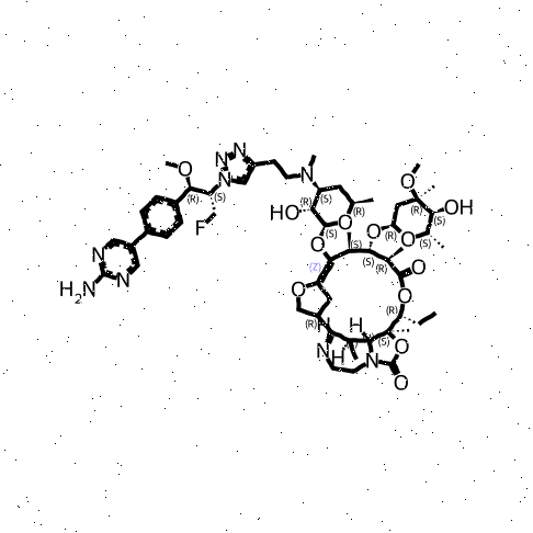 CC[C@H]1OC(=O)[C@H](C)[C@@H](O[C@H]2C[C@@](C)(OC)[C@@H](O)[C@H](C)O2)[C@H](C)/C(O[C@@H]2O[C@H](C)C[C@H](N(C)CCc3cn([C@H](CF)[C@H](OC)c4ccc(-c5cnc(N)nc5)cc4)nn3)[C@H]2O)=C2\C[C@@H](CO2)C2=NCCN3C(=O)O[C@@]1(C)[C@H]3[C@H]2C